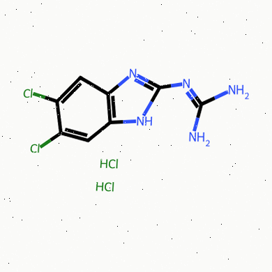 Cl.Cl.NC(N)=Nc1nc2cc(Cl)c(Cl)cc2[nH]1